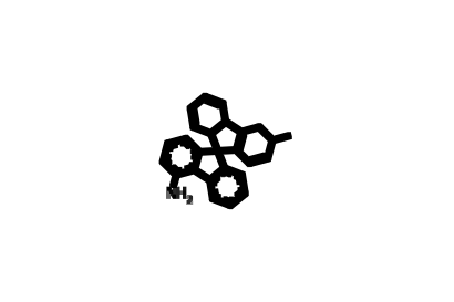 CC1C=CC2=C(C1)C1C=CC=CC1C21c2ccccc2-c2c(N)cccc21